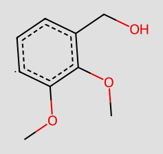 COc1[c]ccc(CO)c1OC